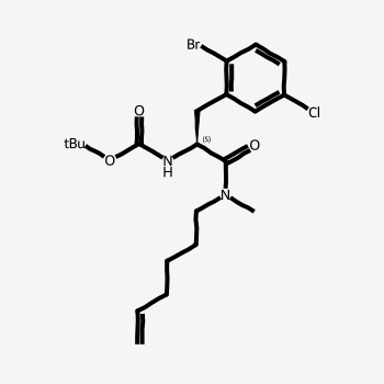 C=CCCCCN(C)C(=O)[C@H](Cc1cc(Cl)ccc1Br)NC(=O)OC(C)(C)C